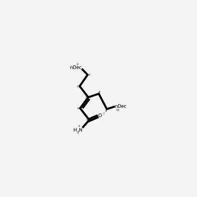 CCCCCCCCCCCCC(=CC(N)=O)CCCCCCCCCCCC